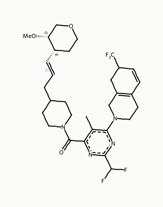 CO[C@@H]1COCC[C@@H]1/C=C/CC1CCN(C(=O)c2nc(C(F)F)nc(N3CCC4=C(CC(C(F)(F)F)C=C4)C3)c2C)CC1